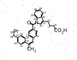 CC(=Cc1ccc(C(=O)n2cc(CCCC(=O)O)c3ccccc32)cc1)c1ccc(CC(C)C)cc1